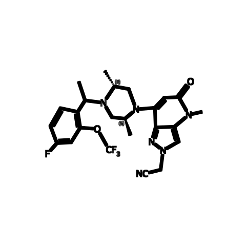 CC(c1ccc(F)cc1OC(F)(F)F)N1C[C@H](C)N(c2cc(=O)n(C)c3cn(CC#N)nc23)C[C@H]1C